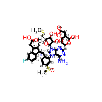 CC1=C(CC(=O)O)c2cc(F)ccc2/C1=C\c1ccc([S+](C)[O-])cc1.CSC[C@H]1O[C@@H](n2cnc3c(N)ncnc32)[C@H](O)[C@@H]1O.O=C1C=C2C(=CCOC2O)O1